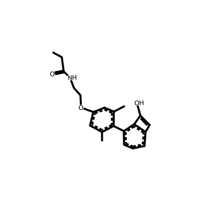 CCC(=O)NCCOc1cc(C)c(-c2cccc3c2C(O)=C3)c(C)c1